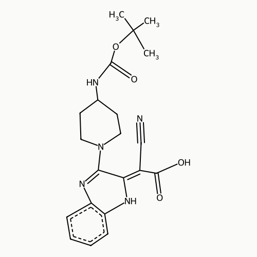 CC(C)(C)OC(=O)NC1CCN(C2=Nc3ccccc3NC2=C(C#N)C(=O)O)CC1